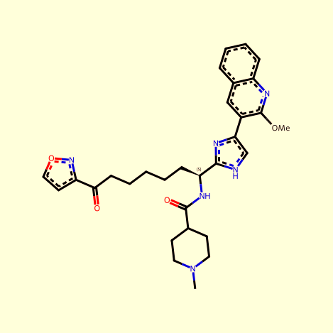 COc1nc2ccccc2cc1-c1c[nH]c([C@H](CCCCCC(=O)c2ccon2)NC(=O)C2CCN(C)CC2)n1